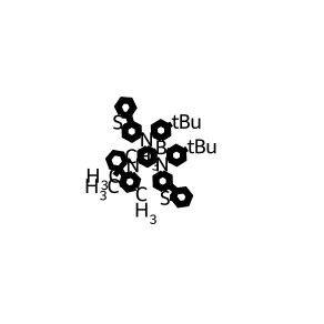 Cc1cc(C)c2c(c1)N(c1cc3c4c(c1)N(c1ccc5sc6ccccc6c5c1)c1ccc(C(C)(C)C)cc1B4c1cc(C(C)(C)C)ccc1N3c1ccc3sc4ccccc4c3c1)C1(C)CCCCC21C